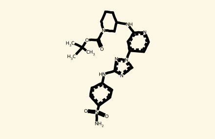 CC(C)(C)OC(=O)N1CCCC(Nc2cc(-n3cnc(Nc4ccc(S(N)(=O)=O)cc4)n3)ccn2)C1